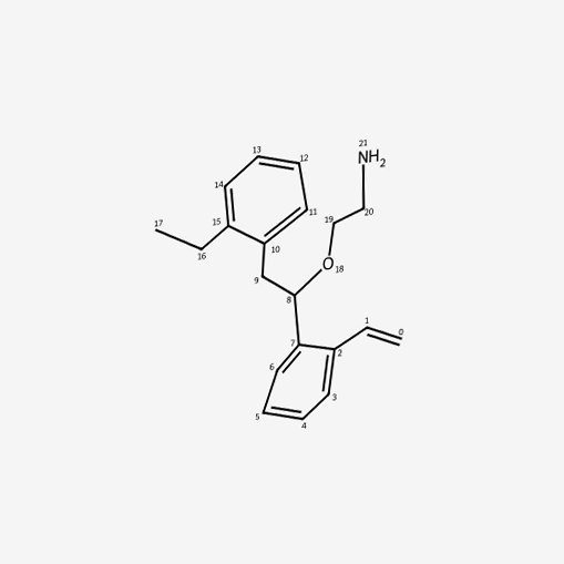 C=Cc1ccccc1C(Cc1ccccc1CC)OCCN